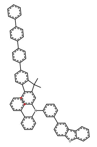 CC1(C)c2cc(-c3ccc(-c4ccc(-c5ccccc5)cc4)cc3)ccc2-c2ccc(N(c3cccc(-c4ccc5oc6ccccc6c5c4)c3)c3ccccc3-c3ccccc3)cc21